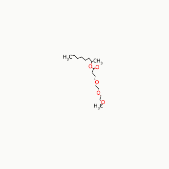 CCCCCCC(C)OC(=O)CCCOCCOCCOC